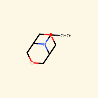 O=[C]CN1C2COCC1COC2